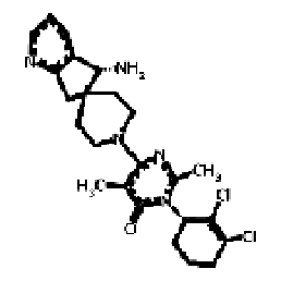 Cc1c(N2CCC3(CC2)Cc2ncccc2[C@@H]3N)nc(C)n([C@@H]2CCCC(Cl)=C2Cl)c1=O